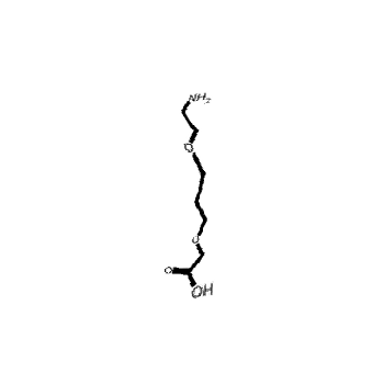 NCCOCCCOCC(=O)O